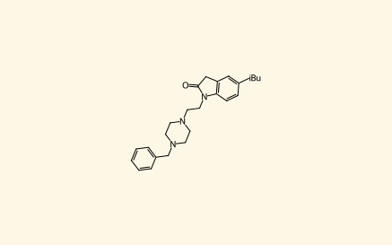 CCC(C)c1ccc2c(c1)CC(=O)N2CCN1CCN(Cc2ccccc2)CC1